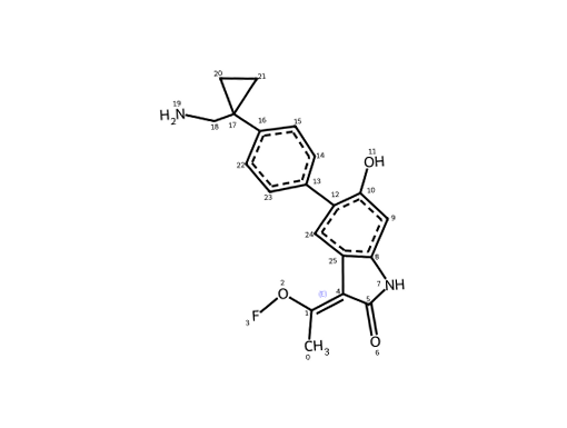 C/C(OF)=C1\C(=O)Nc2cc(O)c(-c3ccc(C4(CN)CC4)cc3)cc21